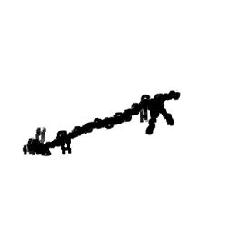 C#CCCCCOc1cc(C(=O)NCCOCCOCCOCCOCCOCCOCCOCCNC(=O)CCCCC2SCC3NC(=O)NC32)cc(OCCCCC#C)c1OCCCCC#C